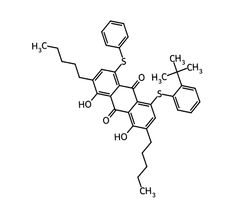 CCCCCc1cc(Sc2ccccc2)c2c(c1O)C(=O)c1c(O)c(CCCCC)cc(Sc3ccccc3C(C)(C)C)c1C2=O